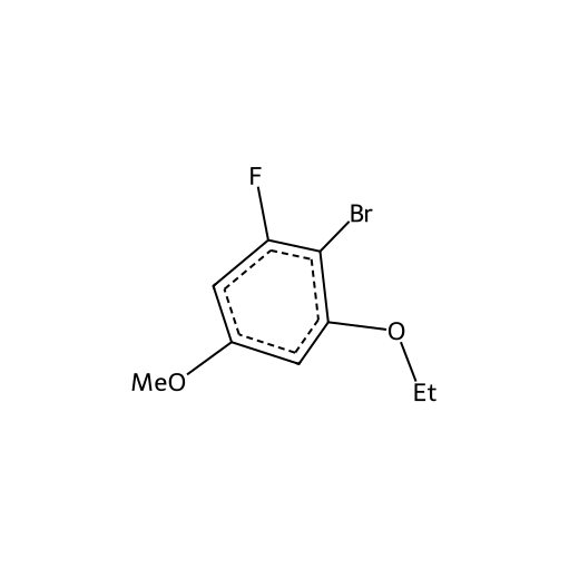 CCOc1cc(OC)cc(F)c1Br